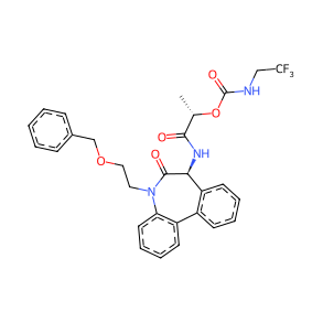 C[C@H](OC(=O)NCC(F)(F)F)C(=O)N[C@@H]1C(=O)N(CCOCc2ccccc2)c2ccccc2-c2ccccc21